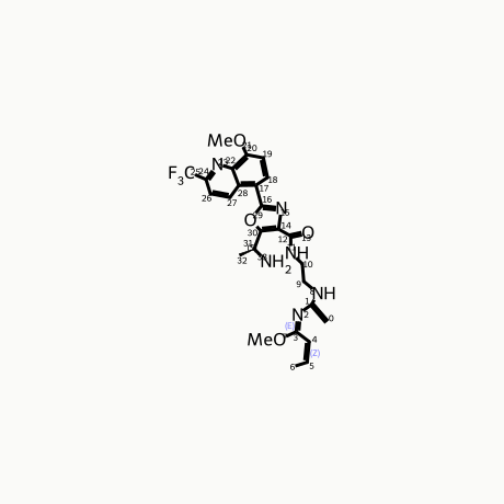 C=C(/N=C(\C=C/C)OC)NCCNC(=O)c1nc(-c2ccc(OC)c3nc(C(F)(F)F)ccc23)oc1[C@H](C)N